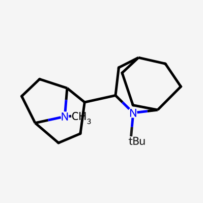 CN1C2CCC(C3CC4CCC(CC4)N3C(C)(C)C)C1CC2